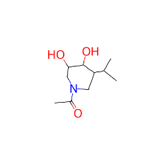 CC(=O)N1CC(O)C(O)C(C(C)C)C1